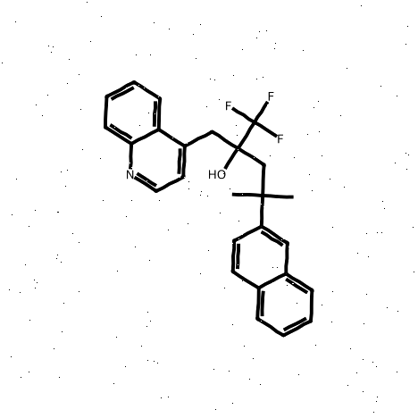 CC(C)(CC(O)(Cc1ccnc2ccccc12)C(F)(F)F)c1ccc2ccccc2c1